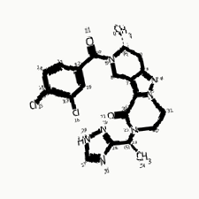 C[C@@H]1Cc2nn3c(c2CN1C(=O)c1ccc(Cl)c(Cl)c1)C(=O)N([C@@H](C)c1nc[nH]n1)CC3